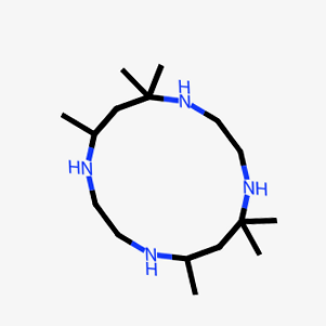 CC1CC(C)(C)NCCNC(C)(C)CC(C)NCCN1